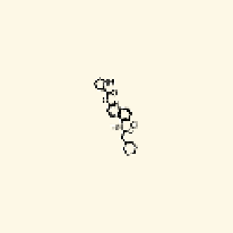 O=C(CC1CCCCC1)Nc1c(Cl)ccc2nc(OC(=O)[C@H]3CCCN3)ccc12